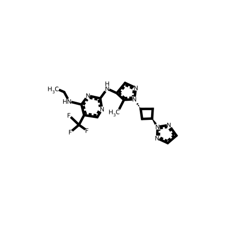 CCNc1nc(Nc2cnn([C@H]3C[C@H](n4nccn4)C3)c2C)ncc1C(F)(F)F